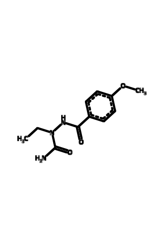 CCN(NC(=O)c1ccc(OC)cc1)C(N)=O